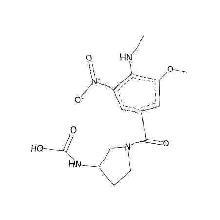 CNc1c(OC)cc(C(=O)N2CCC(NC(=O)O)C2)cc1[N+](=O)[O-]